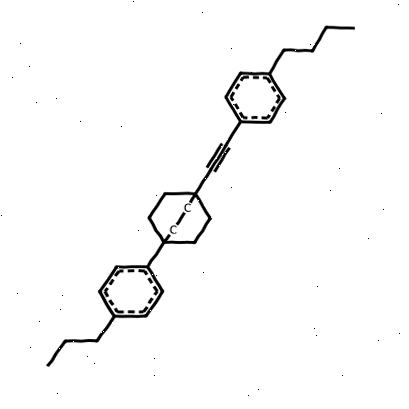 CCCCc1ccc(C#CC23CCC(c4ccc(CCC)cc4)(CC2)CC3)cc1